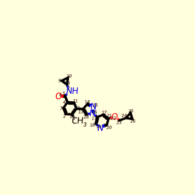 Cc1ccc(C(=O)NC2CC2)cc1-c1cnn(-c2cncc(OCC3CC3)c2)c1